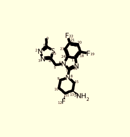 Cc1nnc(Cn2c(N3CC[C@@H](F)[C@H](N)C3)nc3c(F)cc(F)cc32)s1